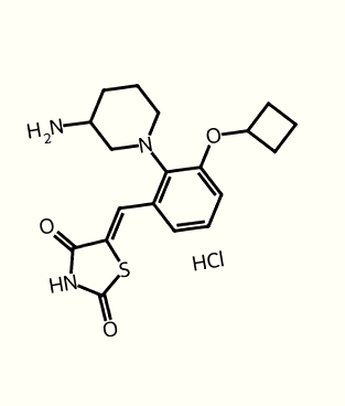 Cl.NC1CCCN(c2c(C=C3SC(=O)NC3=O)cccc2OC2CCC2)C1